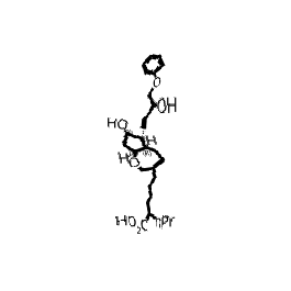 CCCC(CCCCC1=CC[C@@H]2[C@@H](C=CC(O)COc3ccccc3)[C@H](O)C[C@@H]2OC1)C(=O)O